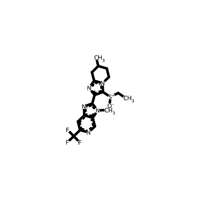 CC[S+]([O-])c1c(-c2nc3cc(C(F)(F)F)ncc3n2C)nc2n1CCC(C)C2